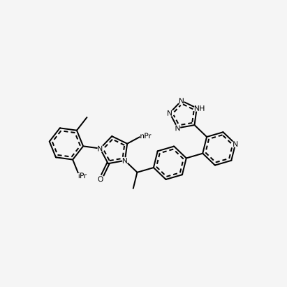 CCCc1cn(-c2c(C)cccc2C(C)C)c(=O)n1C(C)c1ccc(-c2ccncc2-c2nnn[nH]2)cc1